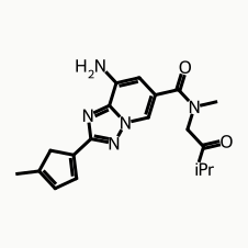 CC1=CC=C(c2nc3c(N)cc(C(=O)N(C)CC(=O)C(C)C)cn3n2)C1